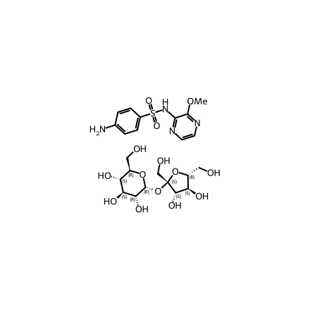 COc1nccnc1NS(=O)(=O)c1ccc(N)cc1.OC[C@H]1O[C@@](CO)(O[C@H]2O[C@H](CO)[C@@H](O)[C@H](O)[C@H]2O)[C@@H](O)[C@@H]1O